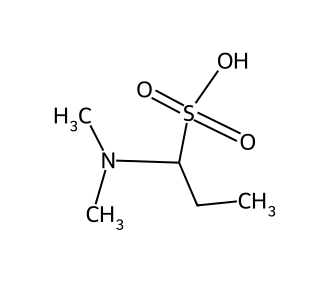 CCC(N(C)C)S(=O)(=O)O